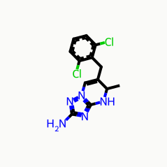 CC1Nc2nc(N)nn2C=C1Cc1c(Cl)cccc1Cl